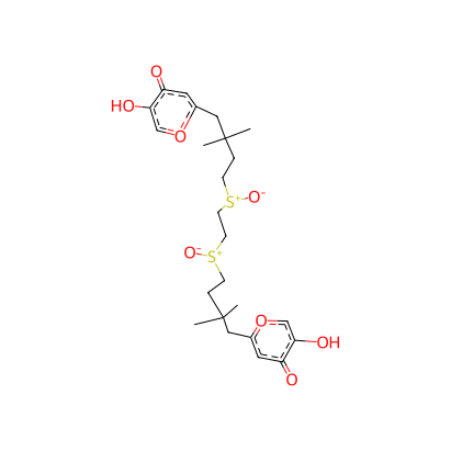 CC(C)(CC[S+]([O-])CC[S+]([O-])CCC(C)(C)Cc1cc(=O)c(O)co1)Cc1cc(=O)c(O)co1